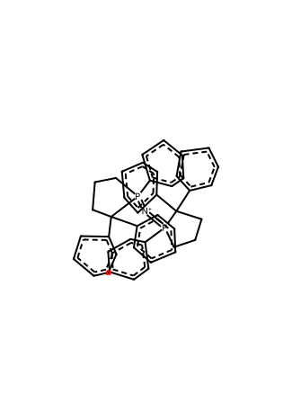 c1ccc(C2(c3ccccc3)CCCP2(=[N+]=P2(c3ccccc3)CCCC2(c2ccccc2)c2ccccc2)c2ccccc2)cc1